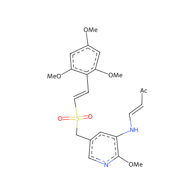 COc1cc(OC)c(C=CS(=O)(=O)Cc2cnc(OC)c(NC=CC(C)=O)c2)c(OC)c1